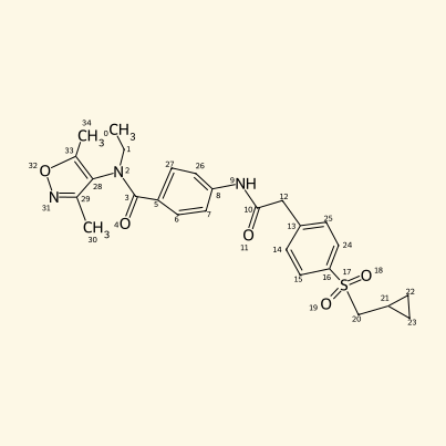 CCN(C(=O)c1ccc(NC(=O)Cc2ccc(S(=O)(=O)CC3CC3)cc2)cc1)c1c(C)noc1C